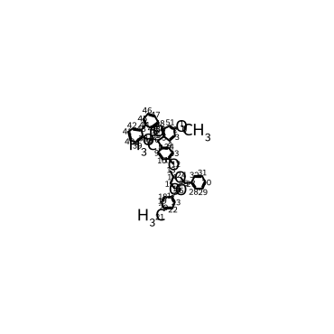 COc1ccc(C(C)(c2ccc(OCC(COc3ccc(C)cc3)OC(=O)c3ccccc3)cc2)P2(=O)Oc3ccccc3-c3ccccc32)cc1